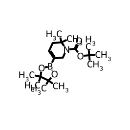 CC(C)(C)OC(=O)N1CC(B2OC(C)(C)C(C)(C)O2)=CCC1(C)C